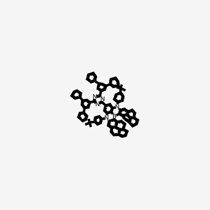 CC(C)(C)c1ccc(N2c3cc(-c4nc(-c5cc(-c6ccccc6)cc(-c6ccccc6)c5)nc(-c5cc(-c6ccccc6)cc(-c6ccccc6)c5)n4)cc4c3B(c3c2cc2ccc5cccc6ccc3c2c56)c2c(cc3ccc5cccc6ccc2c3c56)N4c2ccc(C(C)(C)C)cc2)cc1